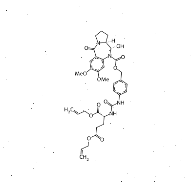 C=CCOC(=O)CCC(NC(=O)Nc1ccc(COC(=O)N2c3cc(OC)c(OC)cc3C(=O)N3CCC[C@H]3[C@@H]2O)cc1)C(=O)OCC=C